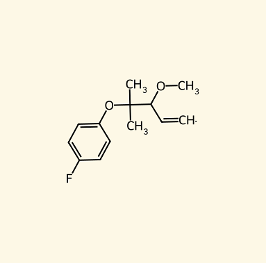 [CH]=CC(OC)C(C)(C)Oc1ccc(F)cc1